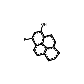 Oc1cc(F)c2ccc3cccc4ccc1c2c43